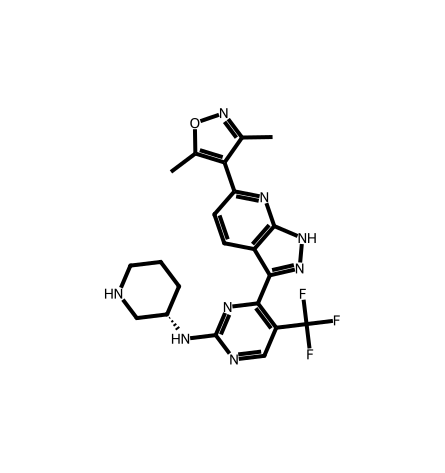 Cc1noc(C)c1-c1ccc2c(-c3nc(N[C@H]4CCCNC4)ncc3C(F)(F)F)n[nH]c2n1